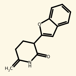 C=C1CCC(c2cc3ccccc3o2)C(=O)N1